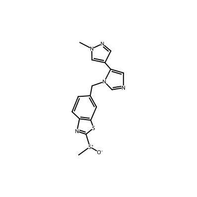 Cn1cc(-c2cncn2Cc2ccc3nc([S+](C)[O-])sc3c2)cn1